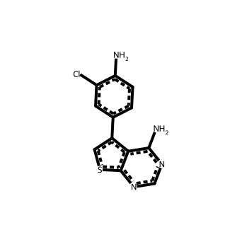 Nc1ccc(-c2csc3ncnc(N)c23)cc1Cl